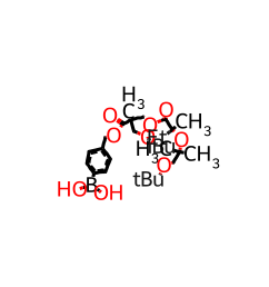 CCC(C)OCC(C)(COC(=O)C(C)(CC)OC(C)(C)COC(C)(C)C)C(=O)OCc1ccc(B(O)O)cc1